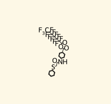 O=C(CSc1ccccc1)Nc1ccc(C(=O)OC(=O)C(F)(F)C(F)(F)C(F)(F)C(F)(F)C(F)(F)C(F)(F)F)cc1